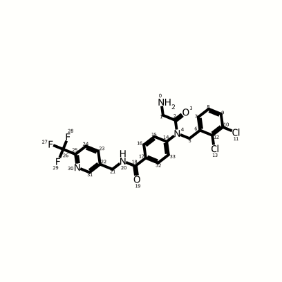 NCC(=O)N(Cc1cccc(Cl)c1Cl)c1ccc(C(=O)NCc2ccc(C(F)(F)F)nc2)cc1